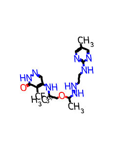 Cc1cnc(NCCNNC(C)OC[C@H](C)Nc2cn[nH]c(=O)c2C(F)(F)F)nc1